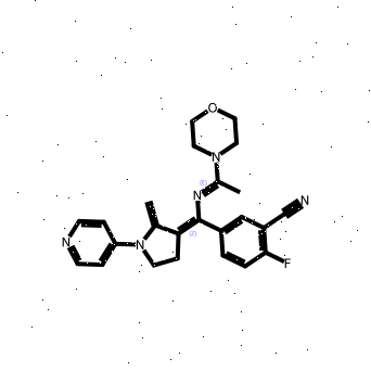 C=C1/C(=C(\N=C(/C)N2CCOCC2)c2ccc(F)c(C#N)c2)CCN1c1ccncc1